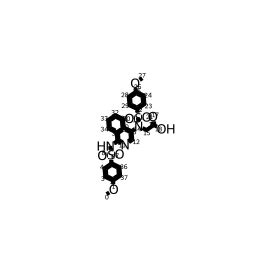 COc1ccc(S(=O)(=O)Nc2ncc(N(CC(=O)O)S(=O)(=O)c3ccc(OC)cc3)c3ccccc23)cc1